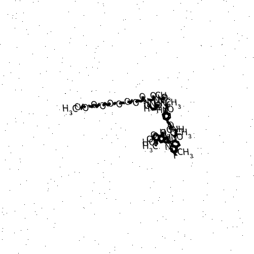 CC[C@@]1(O)C(=O)OCc2c1cc1n(c2=O)Cc2c-1nc1cc(F)c(C)c3c1c2[C@@H](NC(=O)C(C)(C)NC(=O)OCc1ccc(NC(=O)[C@H](C)NC(=O)[C@H](C)NC(=O)C(CNC(=O)CCOCCOCCOCCOCCOCCOCCOCCOC)N2C(=O)C=CC2=O)cc1)CC3